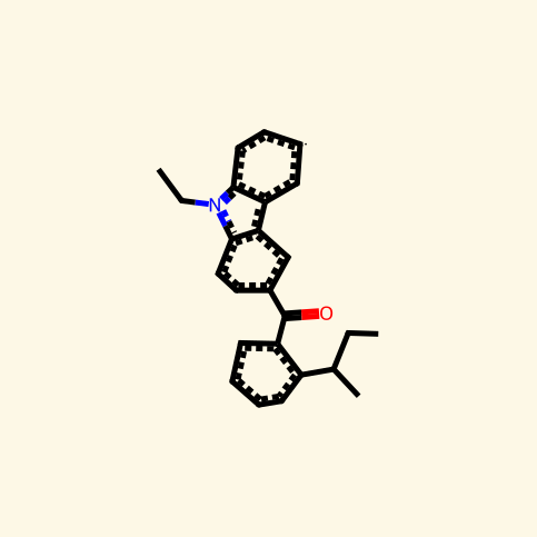 CCC(C)c1ccccc1C(=O)c1ccc2c(c1)c1c[c]ccc1n2CC